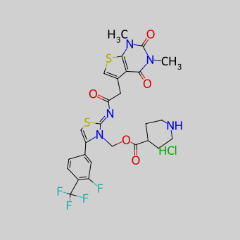 Cl.Cn1c(=O)c2c(CC(=O)/N=c3\scc(-c4ccc(C(F)(F)F)c(F)c4)n3COC(=O)C3CCNCC3)csc2n(C)c1=O